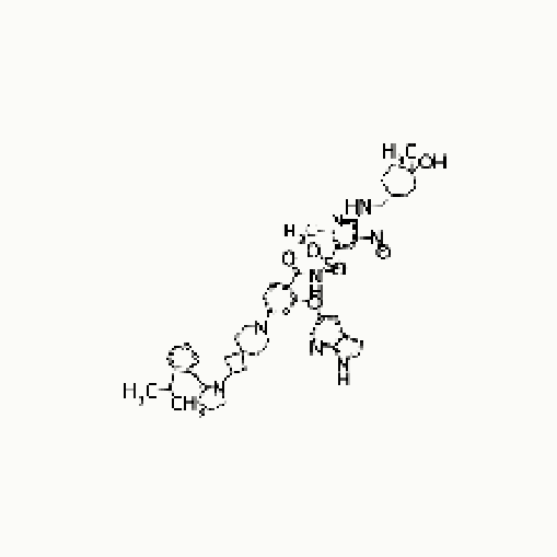 Cc1nc(NC[C@H]2CC[C@](C)(O)CC2)c(N=O)cc1S(=O)(=O)NC(=O)c1ccc(N2CCC3(CC2)CC(N2CCC[C@H]2c2ccccc2C(C)C)C3)cc1Oc1cnc2[nH]ccc2c1